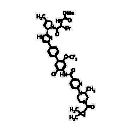 COC(=O)N[C@H](C(=O)N1CC(C)=C[C@H]1c1nc(-c2ccc(-c3cc(Cl)c(NC(=O)c4ccc(N5CCN(C(=O)C6CC6(C)C)C[C@H]5C)nc4)cc3OC(F)(F)F)cc2)c[nH]1)C(C)C